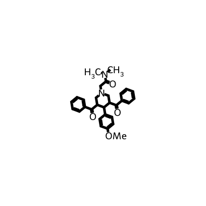 COc1ccc(C2C(C(=O)c3ccccc3)CN(CC(=O)N(C)C)CC2C(=O)c2ccccc2)cc1